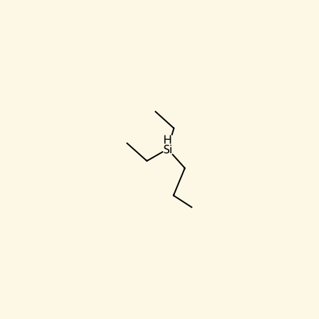 CCC[SiH](CC)CC